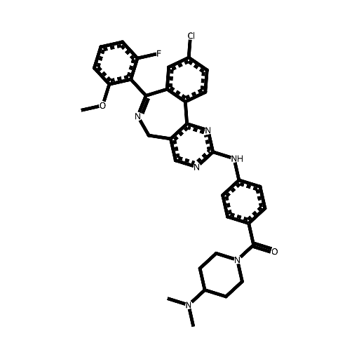 COc1cccc(F)c1C1=NCc2cnc(Nc3ccc(C(=O)N4CCC(N(C)C)CC4)cc3)nc2-c2ccc(Cl)cc21